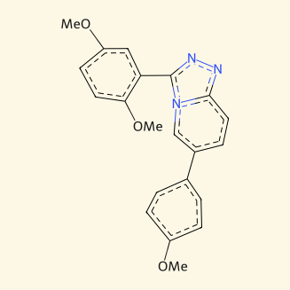 COc1ccc(-c2ccc3nnc(-c4cc(OC)ccc4OC)n3c2)cc1